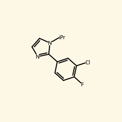 CC(C)n1ccnc1-c1ccc(F)c(Cl)c1